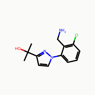 CC(C)(O)c1ccn(-c2cccc(Cl)c2CN)n1